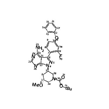 CO[C@@H]1C[C@@H](n2nc(-c3ccc(Oc4ccccc4)cc3F)c3c(N)ncnc32)CN(C(=O)OC(C)(C)C)C1